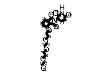 O=CCOCCOCCOCCOc1cccc2c1C(=O)N(C1CCC(=O)NC1=O)C2=O